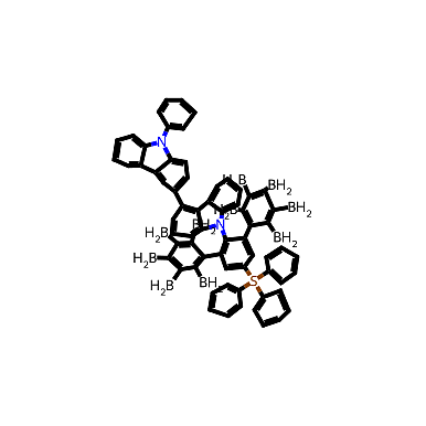 Bc1c(B)c(B)c(-c2cc(S(c3ccccc3)(c3ccccc3)c3ccccc3)cc(-c3c(B)c(B)c(B)c(B)c3B)c2-n2c3ccccc3c3c(-c4ccc5c(c4)c4ccccc4n5-c4ccccc4)cccc32)c(B)c1B